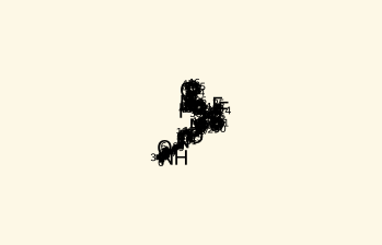 CC(C)(C)NC(=O)/C=C/CN1CCC[C@@H](Oc2ccc(/C(=C(/CC(F)(F)F)c3ccccc3)c3ccc4c(c3)c(F)nn4C3CCCCO3)cn2)C1